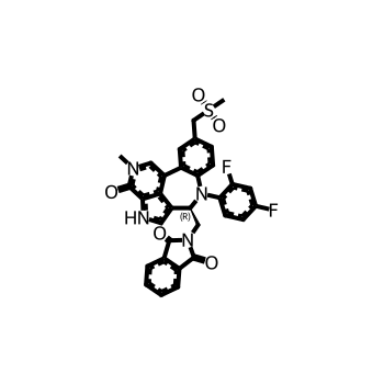 Cn1cc2c3c(c[nH]c3c1=O)[C@H](CN1C(=O)c3ccccc3C1=O)N(c1ccc(F)cc1F)c1ccc(CS(C)(=O)=O)cc1-2